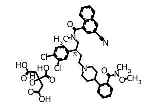 CON(C)C(=O)c1ccccc1C1CCN(CC[C@H](CN(C)C(=O)c2cc(C#N)cc3ccccc23)c2ccc(Cl)c(Cl)c2)CC1.O=C(O)CC(O)(CC(=O)O)C(=O)O